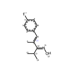 C/C(=C\c1ccc(F)cc1)C(=NO)C(C)C